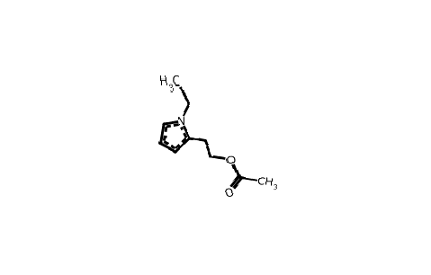 CCn1cccc1CCOC(C)=O